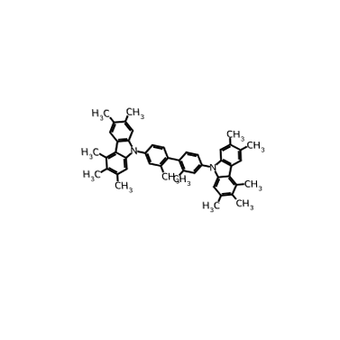 Cc1cc2c3c(C)c(C)c(C)cc3n(-c3ccc(-c4ccc(-n5c6cc(C)c(C)cc6c6c(C)c(C)c(C)cc65)cc4C)c(C)c3)c2cc1C